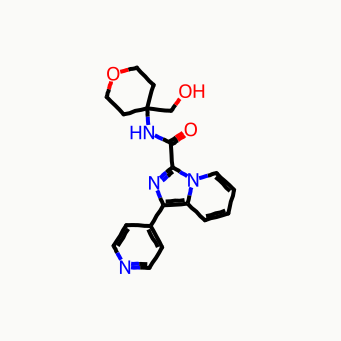 O=C(NC1(CO)CCOCC1)c1nc(-c2ccncc2)c2ccccn12